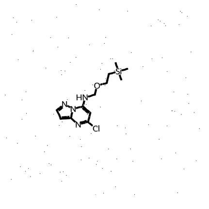 C[Si](C)(C)CCOCNc1cc(Cl)nc2ccnn12